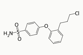 NS(=O)(=O)c1ccc(Oc2ccccc2CCCCl)cc1